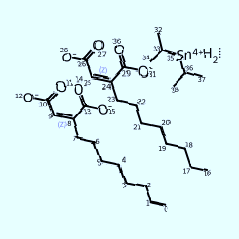 CCCCCCCC/C(=C/C(=O)[O-])C(=O)[O-].CCCCCCCC/C(=C/C(=O)[O-])C(=O)[O-].C[CH](C)[SnH2+4][CH](C)C